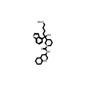 CNCC(CC1CCCCC1)NC(=O)N1CCCC(C(O)(CCCCOC)c2cccc3sccc23)C1